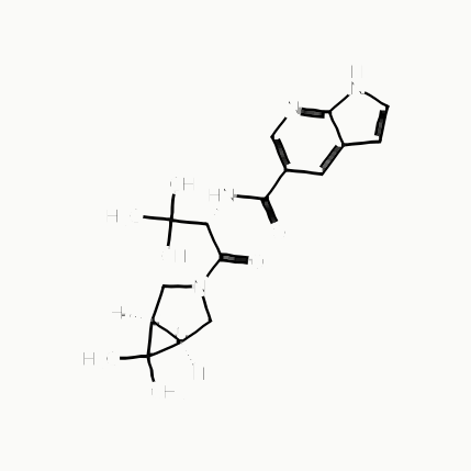 CC(C)(C)[C@H](NC(=O)c1cnc2[nH]ccc2c1)C(=O)N1C[C@@H]2[C@H](C1)C2(C)C